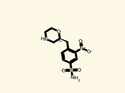 NS(=O)(=O)c1ccc(C[C@H]2CNCCO2)c([N+](=O)[O-])c1